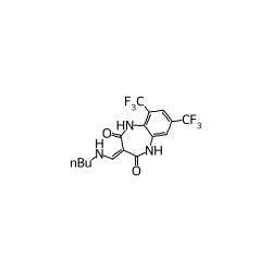 CCCCNC=C1C(=O)Nc2cc(C(F)(F)F)cc(C(F)(F)F)c2NC1=O